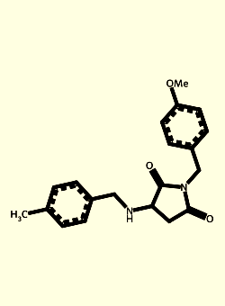 COc1ccc(CN2C(=O)CC(NCc3ccc(C)cc3)C2=O)cc1